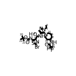 CCn1ncc(NC(=O)c2nc(Br)sc2NC(=O)OC(C)(C)C)c1N1CCCC(NC(=O)C(F)(F)F)CC1